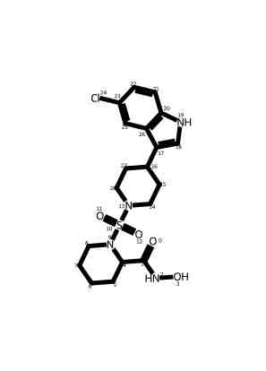 O=C(NO)C1CCCCN1S(=O)(=O)N1CCC(c2c[nH]c3ccc(Cl)cc23)CC1